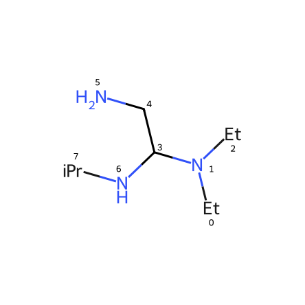 CCN(CC)C(CN)NC(C)C